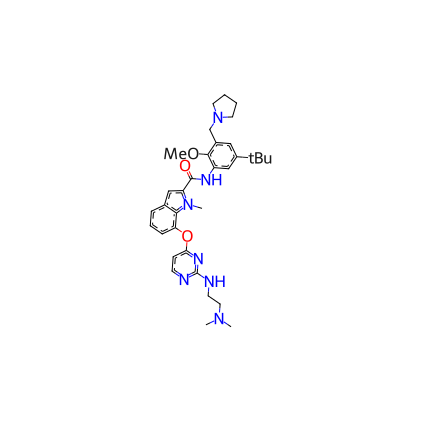 COc1c(CN2CCCC2)cc(C(C)(C)C)cc1NC(=O)c1cc2cccc(Oc3ccnc(NCCN(C)C)n3)c2n1C